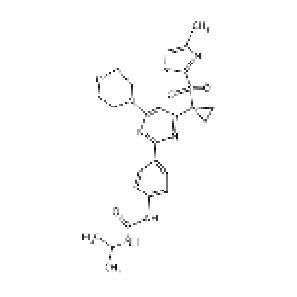 Cc1csc(S(=O)(=O)C2(c3cc(N4CCOCC4)nc(-c4ccc(NC(=O)NC(C)C)cc4)n3)CC2)n1